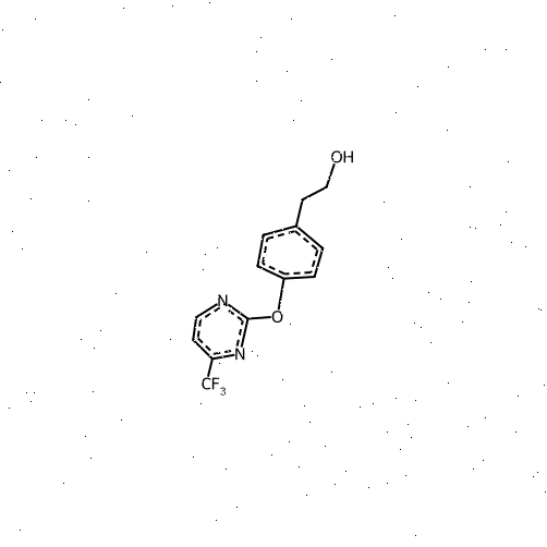 OCCc1ccc(Oc2nccc(C(F)(F)F)n2)cc1